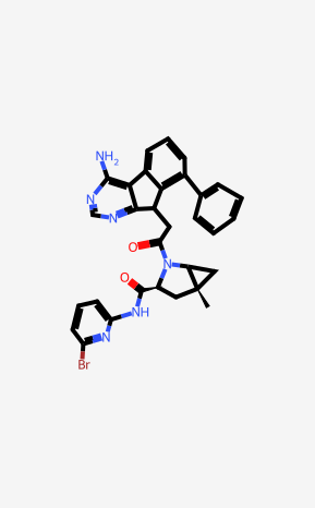 C[C@]12CC1N(C(=O)CC1c3ncnc(N)c3-c3cccc(-c4ccccc4)c31)[C@H](C(=O)Nc1cccc(Br)n1)C2